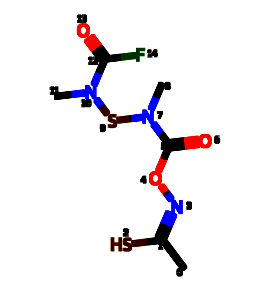 CC(S)=NOC(=O)N(C)SN(C)C(=O)F